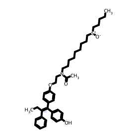 CCCCC[S+]([O-])CCCCCCCCCN(CCOc1ccc(/C(=C(\CC)c2ccccc2)c2ccc(O)cc2)cc1)C(C)=O